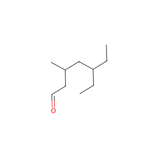 CCC(CC)CC(C)CC=O